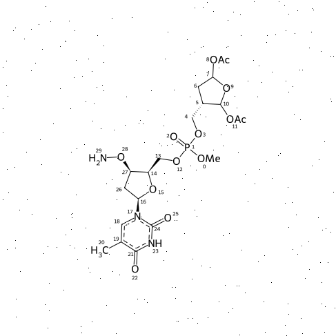 COP(=O)(OC[C@@H]1CC(OC(C)=O)OC1OC(C)=O)OC[C@H]1O[C@@H](n2cc(C)c(=O)[nH]c2=O)C[C@H]1ON